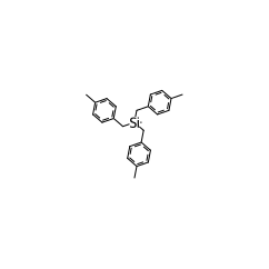 Cc1ccc(C[Si](Cc2ccc(C)cc2)Cc2ccc(C)cc2)cc1